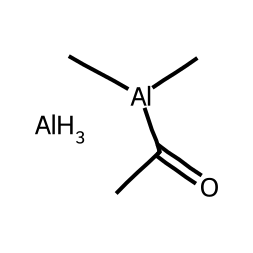 C[C](=O)[Al]([CH3])[CH3].[AlH3]